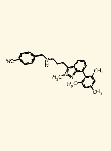 Cc1cc(C)c(-c2cccc3c(CCCNCc4ccc(C#N)cc4)n(C)nc23)c(C)c1